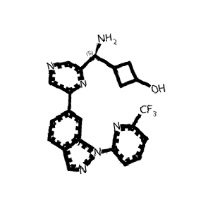 N[C@H](c1cncc(-c2ccc3cnn(-c4cccc(C(F)(F)F)n4)c3c2)n1)C1CC(O)C1